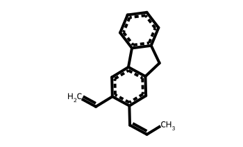 C=Cc1cc2c(cc1/C=C\C)Cc1ccccc1-2